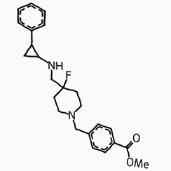 COC(=O)c1ccc(CN2CCC(F)(CNC3CC3c3ccccc3)CC2)cc1